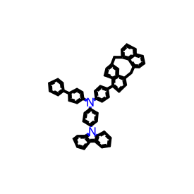 c1ccc(-c2ccc(N(c3ccc(-c4ccc5c6cc(ccc46)Cc4cccc6cccc(c46)C5)cc3)c3ccc(-n4c5ccccc5c5ccccc54)cc3)cc2)cc1